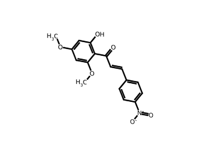 COc1cc(O)c(C(=O)/C=C/c2ccc([N+](=O)[O-])cc2)c(OC)c1